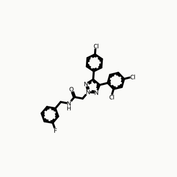 O=C(Cn1nc(-c2ccc(Cl)cc2)c(-c2ccc(Cl)cc2Cl)n1)NCc1cccc(F)c1